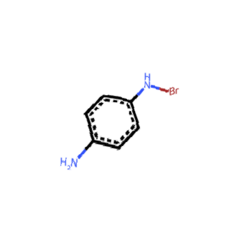 Nc1ccc(NBr)cc1